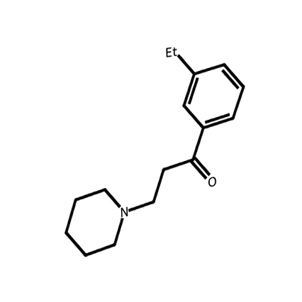 CCc1cccc(C(=O)CCN2CCCCC2)c1